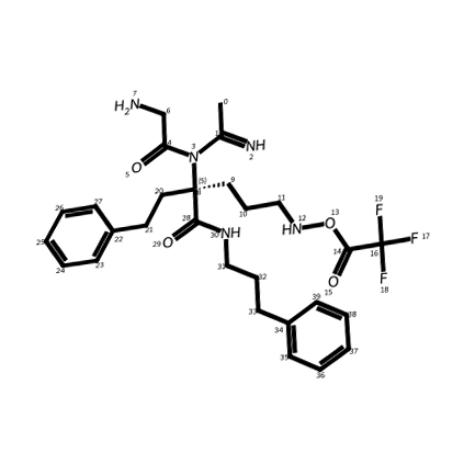 CC(=N)N(C(=O)CN)[C@](CCCNOC(=O)C(F)(F)F)(CCc1ccccc1)C(=O)NCCCc1ccccc1